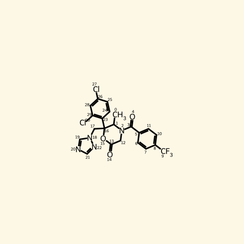 CC1N(C(=O)c2ccc(C(F)(F)F)cc2)CC(=O)OC1(Cn1cncn1)c1ccc(Cl)cc1Cl